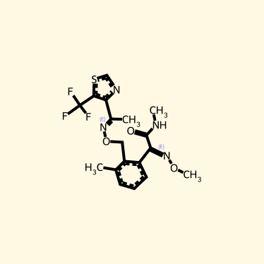 CNC(=O)/C(=N/OC)c1cccc(C)c1CO/N=C(\C)c1ncsc1C(F)(F)F